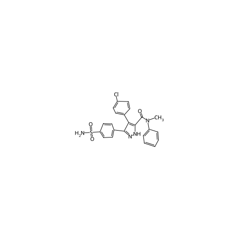 CN(C(=O)c1[nH]nc(-c2ccc(S(N)(=O)=O)cc2)c1-c1ccc(Cl)cc1)c1ccccc1